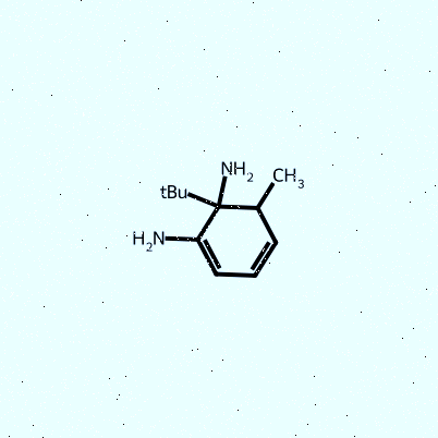 CC1C=CC=C(N)C1(N)C(C)(C)C